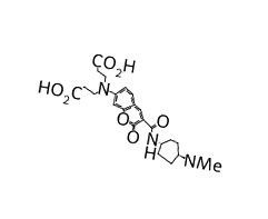 CN[C@H]1CC[C@H](NC(=O)c2cc3ccc(N(CCC(=O)O)CCC(=O)O)cc3oc2=O)CC1